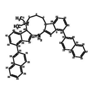 [CH3][Hf]1([CH3])[CH2]CCC2C(=Cc3c(-c4ccc5ccccc5c4)cccc32)[SiH2]C2=Cc3c(-c4ccc5ccccc5c4)cccc3[CH]21